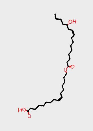 CCCCC(O)C/C=C\CCCCCCCC(=O)OCCCCCC/C=C\CCCCCCCC(=O)O